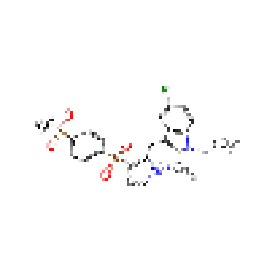 Cc1c(Cc2[nH]ccc2S(=O)(=O)c2ccc(S(C)(=O)=O)cc2)c2cc(F)ccc2n1CC(=O)O